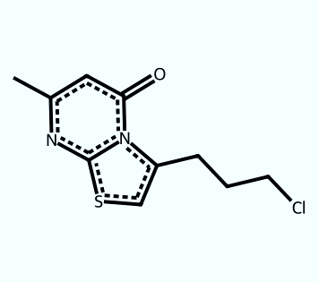 Cc1cc(=O)n2c(CCCCl)csc2n1